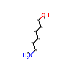 NCCCC[CH]CO